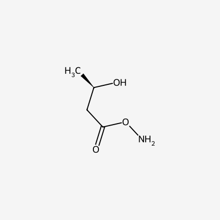 C[C@@H](O)CC(=O)ON